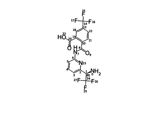 N[C@H](c1cccc(NC(=O)c2ccc(C(F)(F)F)cc2C(=O)O)n1)C(F)(F)F